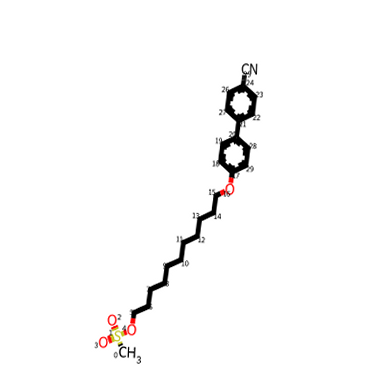 CS(=O)(=O)OCCCCCCCCCCCOc1ccc(-c2ccc(C#N)cc2)cc1